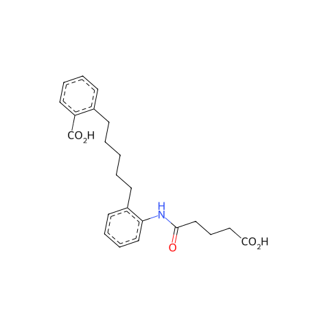 O=C(O)CCCC(=O)Nc1ccccc1CCCCCc1ccccc1C(=O)O